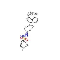 COc1ccc(C2CCC(=NNS(=O)(=O)c3ccc(C)cc3)CC2)c2ccccc12